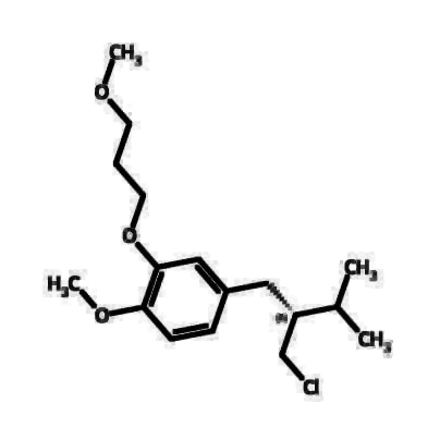 COCCCOc1cc(C[C@@H](CCl)C(C)C)ccc1OC